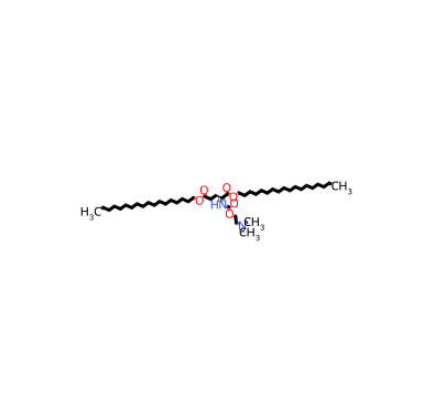 CCCCCCCCCCCCCCCCCCOC(=O)CC[C@H](NC(=O)OCCN(C)C)C(=O)OCCCCCCCCCCCCCCCCCC